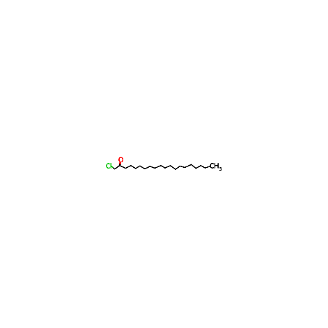 CCCCCCCCCCCCCCCCCCC(=O)CCl